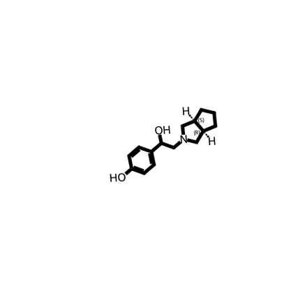 Oc1ccc(C(O)CN2C[C@H]3CCC[C@H]3C2)cc1